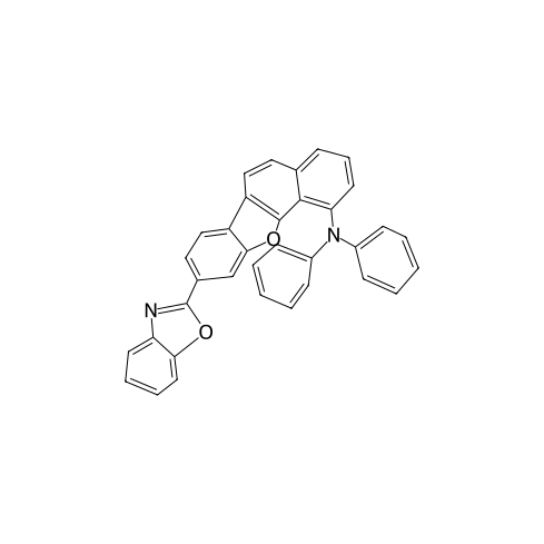 c1ccc(N(c2ccccc2)c2cccc3ccc4c5ccc(-c6nc7ccccc7o6)cc5oc4c23)cc1